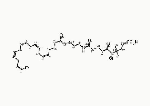 CC/C=C\C/C=C\C/C=C\C/C=C\C/C=C\CCCC(=O)OSCCNC(=O)CCNC(=O)[C@H](O)C(C)(C)COC(=O)O